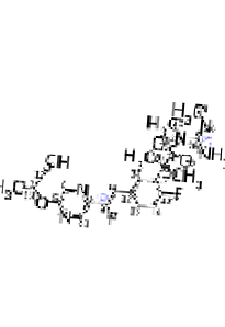 C#C[C@H](C)Oc1cnc(/C(F)=C/c2ccc(F)c(C(C)(C)S(=O)(=O)N(C)/C(N)=N\C)c2)cn1